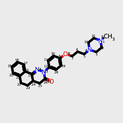 CN1CCN(CCCOc2ccc(N3N=C4c5ccccc5CCC4CC3=O)cc2)CC1